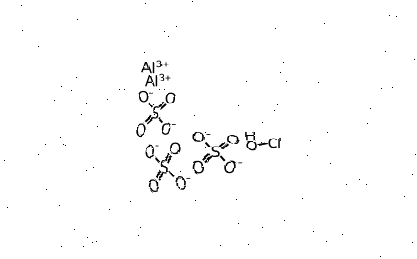 O=S(=O)([O-])[O-].O=S(=O)([O-])[O-].O=S(=O)([O-])[O-].OCl.[Al+3].[Al+3]